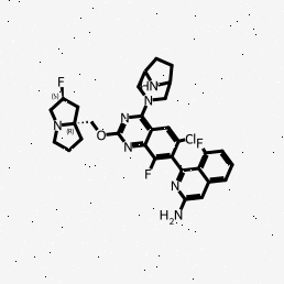 Nc1cc2cccc(F)c2c(-c2c(Cl)cc3c(N4CC5CCC(C4)N5)nc(OC[C@]45CCCN4C[C@@H](F)C5)nc3c2F)n1